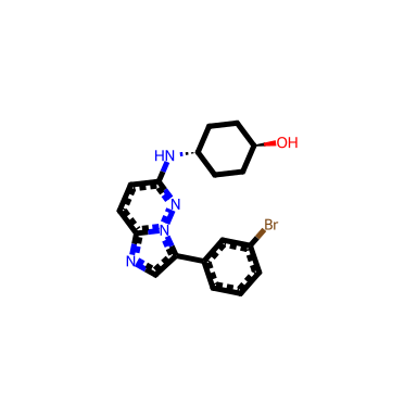 O[C@H]1CC[C@H](Nc2ccc3ncc(-c4cccc(Br)c4)n3n2)CC1